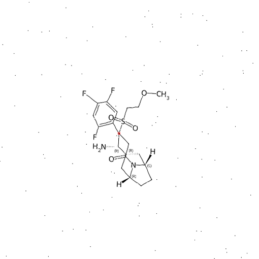 COCCS(=O)(=O)CCC(=O)N1[C@@H]2CC[C@H]1C[C@@H]([C@H](N)Cc1cc(F)c(F)cc1F)C2